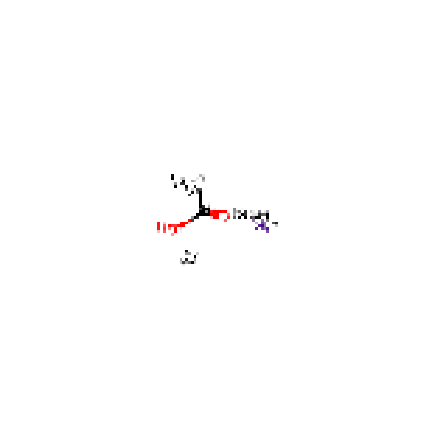 CC(=O)O.I.[Cr].[NaH]